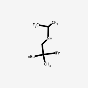 CCCCC(C)(CNC(C(F)(F)F)C(F)(F)F)C(C)C